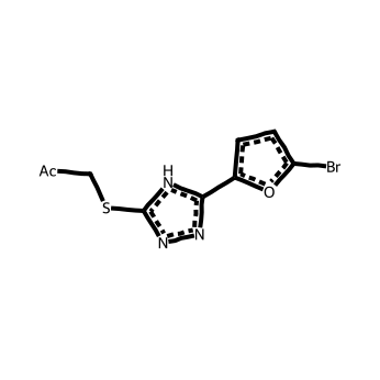 CC(=O)CSc1nnc(-c2ccc(Br)o2)[nH]1